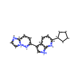 c1cn2nc(-c3c[nH]c4nc(C5CCCC5)ccc34)ccc2n1